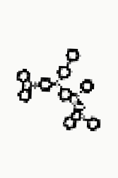 c1ccc(-c2ccc(N(c3ccc(-n4c5ccccc5c5ccccc54)cc3)c3ccc4c(c3)n(-c3ccccc3)c3nc5c(c6ccccc6n5-c5ccccc5)n43)cc2)cc1